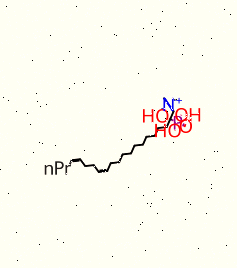 CCC/C=C\CC/C=C\CCCCCCCCCCC(O)(C[N+](C)(C)C)P(=O)(O)O